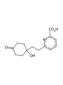 O=C1CCC(O)(CCc2cccc(C(=O)O)n2)CC1